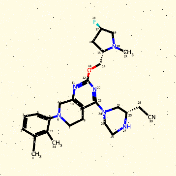 Cc1cccc(N2CCc3c(nc(OC[C@@H]4C[C@@H](F)CN4C)nc3N3CCN[C@@H](CC#N)C3)C2)c1C